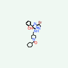 O=C(C1CCCCCC1)N1CCC(CNc2cc(-c3ccccc3O)nc3c(Br)cnn23)CC1